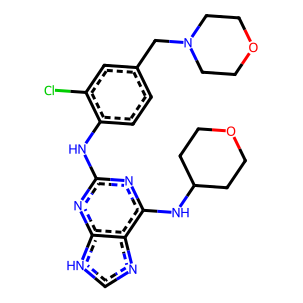 Clc1cc(CN2CCOCC2)ccc1Nc1nc(NC2CCOCC2)c2nc[nH]c2n1